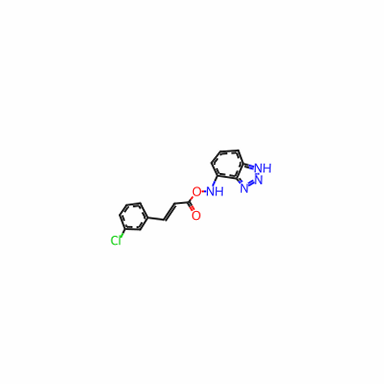 O=C(C=Cc1cccc(Cl)c1)ONc1cccc2[nH]nnc12